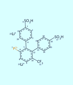 O=S(=O)(O)c1ccc(-c2c([P-2])ccc(C(F)(F)F)c2-c2ccc(S(=O)(=O)O)cc2)cc1.[Li+].[Li+]